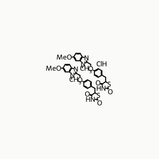 COc1ccc2nc(COc3ccc(CC4SC(=O)NC4=O)cc3)n(C)c2c1.COc1ccc2nc(COc3ccc(CC4SC(=O)NC4=O)cc3)n(C)c2c1.Cl